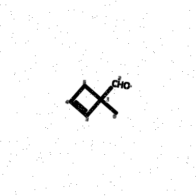 CC1([C]=O)C=CC1